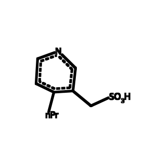 CCCc1ccncc1CS(=O)(=O)O